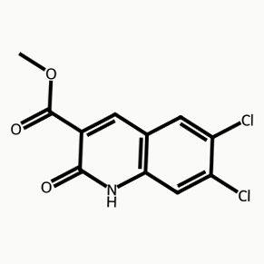 COC(=O)c1cc2cc(Cl)c(Cl)cc2[nH]c1=O